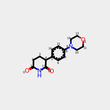 O=C1CCC(c2ccc(N3CCOCC3)cc2)C(=O)N1